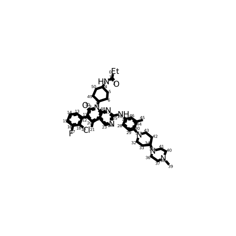 CCC(=O)NC1CCC(n2c(=O)c(-c3cccc(F)c3Cl)c(C)c3cnc(Nc4ccc(N5CCC(N6CCN(C)CC6)CC5)c(C)c4)nc32)CC1